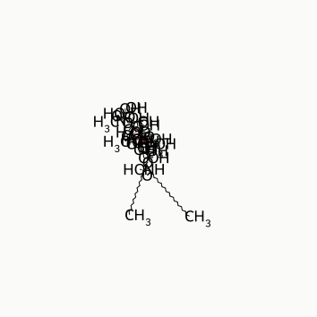 CCCCCCCCCCCCC/C=C/[C@@H](O)[C@H](CO[C@@H]1OC(CO)[C@@H](O[C@@H]2OC(CO)[C@H](O)[C@H](O[C@@H]3OC(CO)[C@@H](O[C@@H]4OC(CO)[C@H](O)[C@H](O[C@@H]5OC(CO)[C@H](O)[C@H](O)C5NC(C)=O)C4O[C@H]4OC(C)[C@@H](O)C(O)[C@@H]4O)[C@H](O)C3NC(C)=O)C2O)[C@H](O)C1O)NC(=O)CCCCCCCCCCCCCCCCCCC